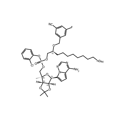 CCCCCCCCCCCCCCCCCC[C@@H](COP(=O)(OC[C@@]1(C)O[C@@H](c2ccc3c(N)ncnn23)[C@@H]2OC(C)(C)O[C@@H]21)Oc1ccccc1Cl)OCc1cc(F)cc(C#N)c1